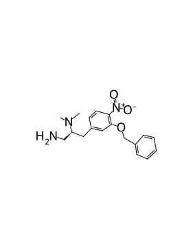 CN(C)[C@H](CN)Cc1ccc([N+](=O)[O-])c(OCc2ccccc2)c1